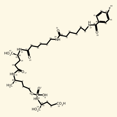 C[C@H](CCCOP(=O)(O)N[C@@H](CCC(=O)O)C(=O)O)NC(=O)CC[C@H](NC(=O)CCCCCNC(=O)CCCCCNC(=O)c1ccc(F)cc1)C(=O)O